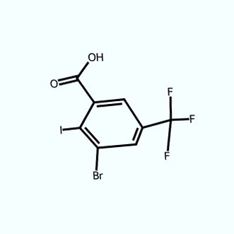 O=C(O)c1cc(C(F)(F)F)cc(Br)c1I